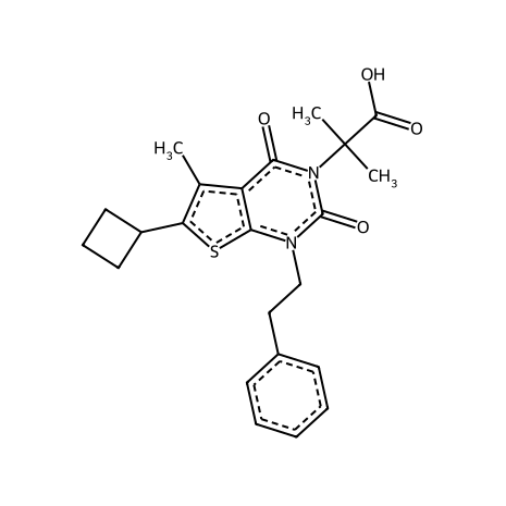 Cc1c(C2CCC2)sc2c1c(=O)n(C(C)(C)C(=O)O)c(=O)n2CCc1ccccc1